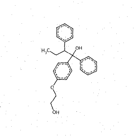 CCC(c1ccccc1)C(O)(c1ccccc1)c1ccc(OCCO)cc1